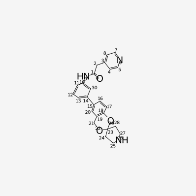 O=C(Cc1ccncc1)Nc1cccc(-c2ccc3c(c2)COC2(CCNCC2)O3)c1